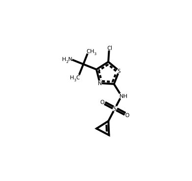 CC(C)(N)c1nc(NS(=O)(=O)C2=CC2)sc1Cl